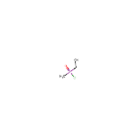 CP(=O)(Cl)CC#N